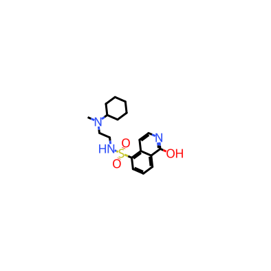 CN(CCNS(=O)(=O)c1cccc2c(O)nccc12)C1CCCCC1